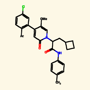 COc1cn(C(CC2CCC2)C(=O)Nc2ccc(C)cc2)c(=O)cc1-c1cc(Cl)ccc1C(C)=O